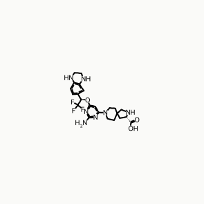 Nc1nc(O[C@H](c2ccc3c(c2)NCCN3)C(F)(F)F)cc(N2CCC3(CC2)CN[C@H](C(=O)O)C3)n1